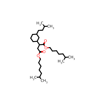 CC(C)CCCCCOC(=O)CC(C(=O)OCCCCCC(C)C)C1CCCC(CCC(C)C)C1